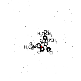 CCOc1cc(C(C)(C)C)ccc1C1=N[C@@H](c2ccc(Cl)cc2)[C@@H](c2ccc(Cl)cc2)N1C(=O)N1CCCN(CCS(C)(=O)=O)CC1